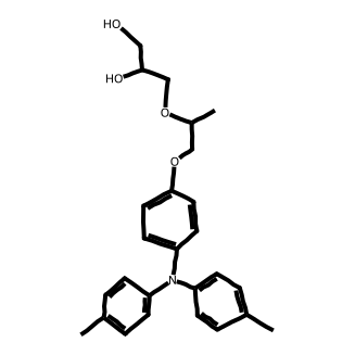 Cc1ccc(N(c2ccc(C)cc2)c2ccc(OCC(C)OCC(O)CO)cc2)cc1